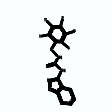 O=C(NSc1c(F)c(F)c(F)c(F)c1F)Nc1noc2ccccc12